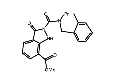 COC(=O)c1cccc2c(=O)n(C(=O)N(Cc3ccccc3C)C(C)C)[nH]c12